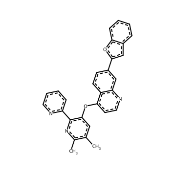 Cc1cc(Oc2ccnc3cc(-c4cc5ccccc5o4)ccc23)c(-c2ccccn2)nc1C